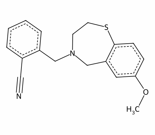 COc1ccc2c(c1)CN(Cc1ccccc1C#N)CCS2